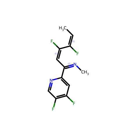 C\C=C(F)/C(F)=C\C(=N\C)c1cc(F)c(F)cn1